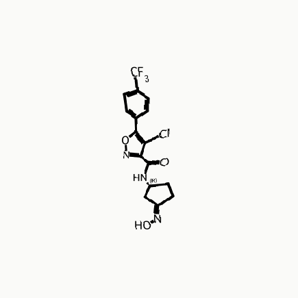 O=C(N[C@@H]1CCC(=NO)C1)c1noc(-c2ccc(C(F)(F)F)cc2)c1Cl